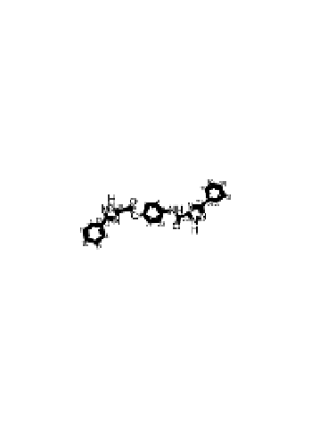 O=C(Nc1ccc(OC(=O)c2nc(-c3ccccc3)n[nH]2)cc1)c1nc(-c2ccccc2)n[nH]1